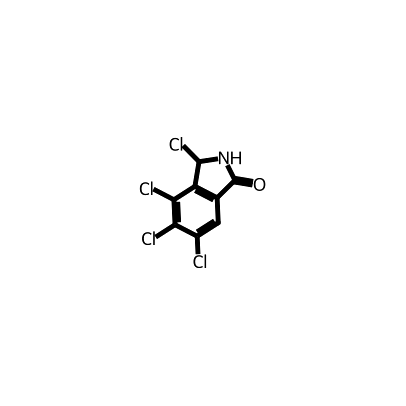 O=C1NC(Cl)c2c1cc(Cl)c(Cl)c2Cl